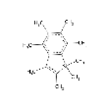 CC1=C(C)[Si](C)(C)c2c(C)c(C)c(C)c(C)c21